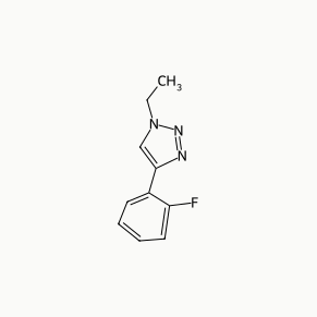 CCn1cc(-c2ccccc2F)nn1